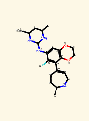 CNC1CC(C)NC(Nc2cc3c(c(C4=CCN[C@@H](C)CC4)c2F)OCCO3)N1